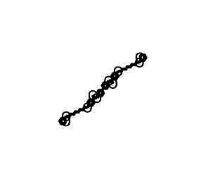 O=C(Oc1ccc(-c2ccc(OC(=O)c3ccc(OCCCCCCCCOC4CCCCO4)cc3)cc2)cc1)c1ccc(OCCCCCCCCOC2CCCCO2)cc1